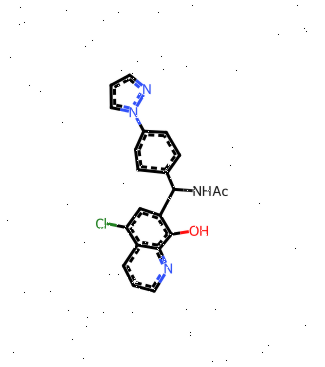 CC(=O)NC(c1ccc(-n2cccn2)cc1)c1cc(Cl)c2cccnc2c1O